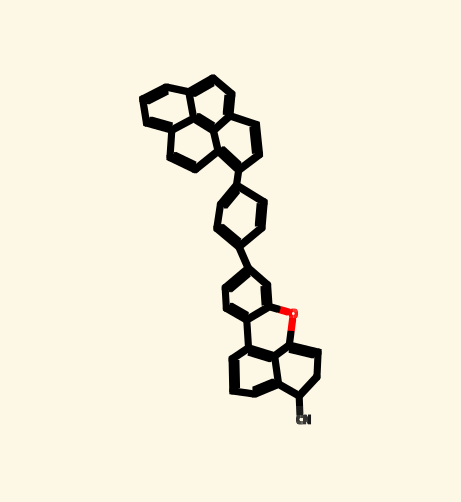 N#CC1CC=C2Oc3cc(-c4ccc(-c5ccc6ccc7cccc8ccc5c6c78)cc4)ccc3-c3cccc1c32